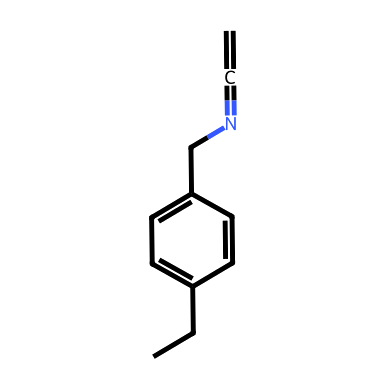 C=C=NCc1ccc(CC)cc1